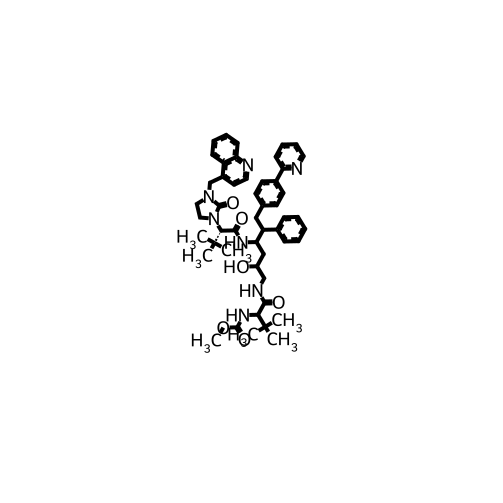 COC(=O)NC(C(=O)NCC(O)CC(NC(=O)[C@@H](N1CCN(Cc2ccnc3ccccc23)C1=O)C(C)(C)C)C(Cc1ccc(-c2ccccn2)cc1)c1ccccc1)C(C)(C)C